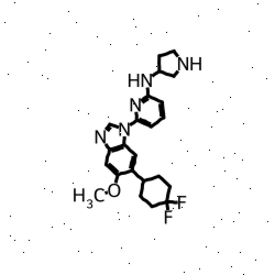 COc1cc2ncn(-c3cccc(NC4CCNC4)n3)c2cc1C1CCC(F)(F)CC1